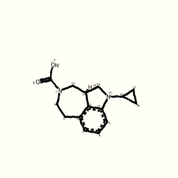 O=C(O)N1CCc2cccc3c2[C@@H](C1)CN3C1CC1